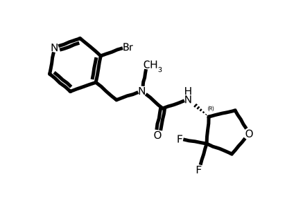 CN(Cc1ccncc1Br)C(=O)N[C@@H]1COCC1(F)F